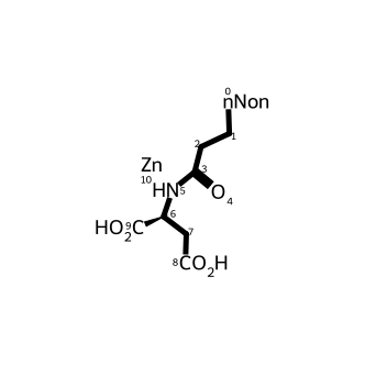 CCCCCCCCCCCC(=O)N[C@@H](CC(=O)O)C(=O)O.[Zn]